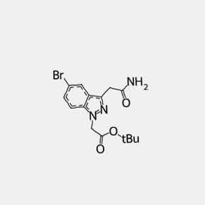 CC(C)(C)OC(=O)Cn1nc(CC(N)=O)c2cc(Br)ccc21